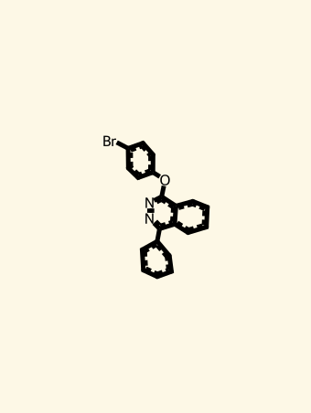 Brc1ccc(Oc2nnc(-c3ccccc3)c3ccccc23)cc1